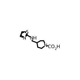 O=C(O)N1CCC(CNc2nccs2)CC1